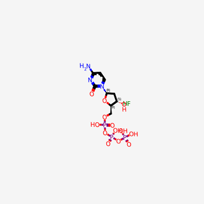 F.Nc1ccn([C@H]2C[C@H](O)[C@@H](COP(=O)(O)OP(=O)(O)OP(=O)(O)O)O2)c(=O)n1